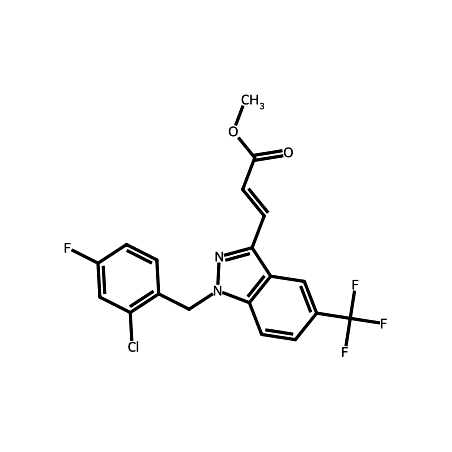 COC(=O)C=Cc1nn(Cc2ccc(F)cc2Cl)c2ccc(C(F)(F)F)cc12